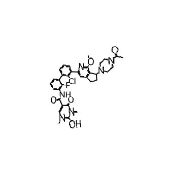 COc1nc(-c2cccc(-c3cccc(NC(=O)C4=CN(C)C(O)N(C)C4=O)c3F)c2Cl)cc2c1C(N1CCN(C(C)=O)CC1)CC2